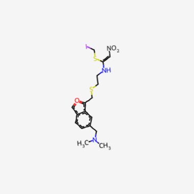 CN(C)Cc1ccc2coc(CSCCNC(=C[N+](=O)[O-])SCI)c2c1